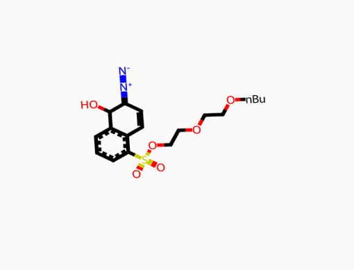 CCCCOCCOCCOS(=O)(=O)c1cccc2c1C=CC(=[N+]=[N-])C2O